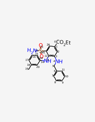 CCOC(=O)c1cc(NCc2ccccc2)c(Nc2cccc(C)c2)c(S(N)(=O)=O)c1